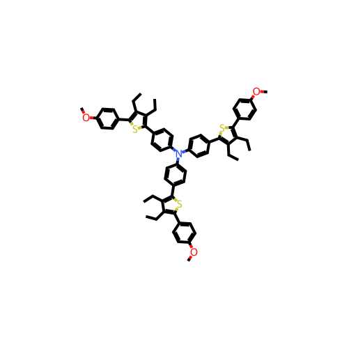 CCc1c(-c2ccc(OC)cc2)sc(-c2ccc(N(c3ccc(-c4sc(-c5ccc(OC)cc5)c(CC)c4CC)cc3)c3ccc(-c4sc(-c5ccc(OC)cc5)c(CC)c4CC)cc3)cc2)c1CC